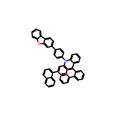 c1cc(-c2cccc3ccccc23)cc(N(c2ccc(-c3ccc4c(c3)oc3ccccc34)cc2)c2ccccc2-c2cc3ccccc3c3ccccc23)c1